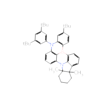 CC(C)(C)c1cc(N2c3cc(C(C)(C)C)ccc3B3c4cccc5c4N(c4cccc2c43)C2(C)CCCCC52C)cc(C(C)(C)C)c1